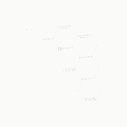 COc1ccc2ccc3c(c2n1)C(=O)c1ccccc1C3